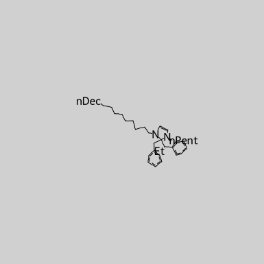 CCCCCCCCCCCCCCCCCCCN1C=CN(CCCCC)C1(Cc1ccccc1)C(CC)c1ccccc1